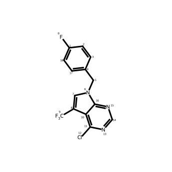 Fc1ccc(Cn2cc(C(F)(F)F)c3c(Cl)ncnc32)cc1